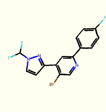 Fc1ccc(-c2cc(-c3ccn(C(F)F)n3)c(Br)cn2)cc1